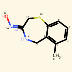 Cc1cccc2c1CN/C(=N/O)CS2